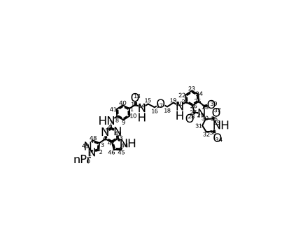 CCCn1cc(-c2nc(Nc3ccc(C(=O)NCCOCCNc4cccc5c4C(=O)N(C4CCC(=O)NC4=O)C5=O)cc3)nc3[nH]ccc23)cn1